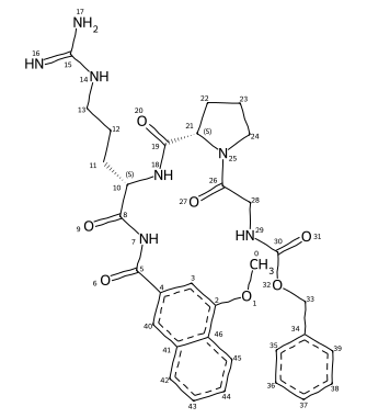 COc1cc(C(=O)NC(=O)[C@H](CCCNC(=N)N)NC(=O)[C@@H]2CCCN2C(=O)CNC(=O)OCc2ccccc2)cc2ccccc12